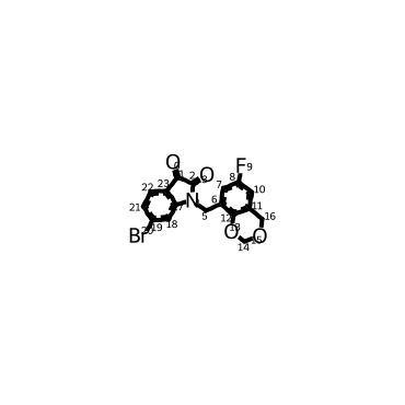 O=C1C(=O)N(Cc2cc(F)cc3c2OCOC3)c2cc(Br)ccc21